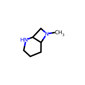 CN1CC2NCCCC21